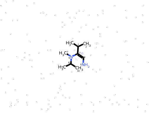 CC(C)/C(=C/N)N(C)C(C)C